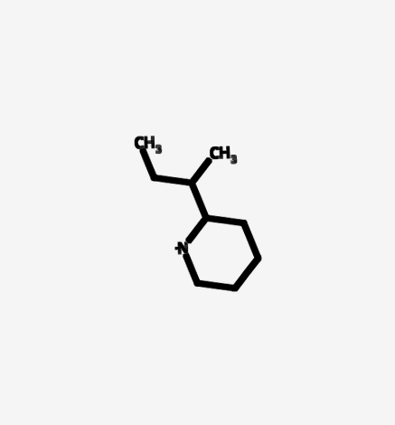 CCC(C)C1CCCC[N]1